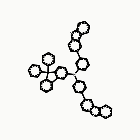 c1ccc(C2(c3ccccc3)c3ccccc3-c3cc(N(c4ccc(-c5ccc6sc7ccccc7c6c5)cc4)c4cccc(-c5ccc6sc7ccccc7c6c5)c4)ccc32)cc1